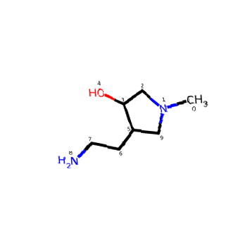 CN1CC(O)C(CCN)C1